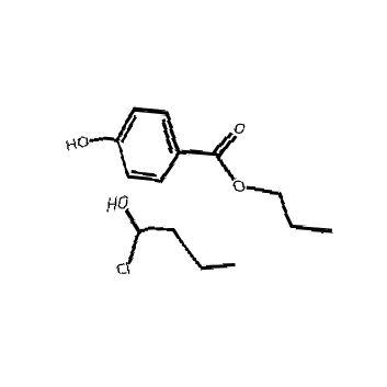 CCCC(O)Cl.CCCOC(=O)c1ccc(O)cc1